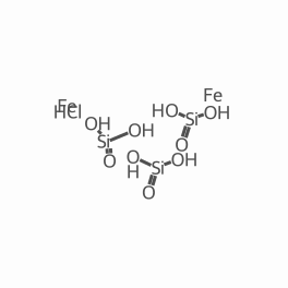 Cl.O=[Si](O)O.O=[Si](O)O.O=[Si](O)O.[Fe].[Fe]